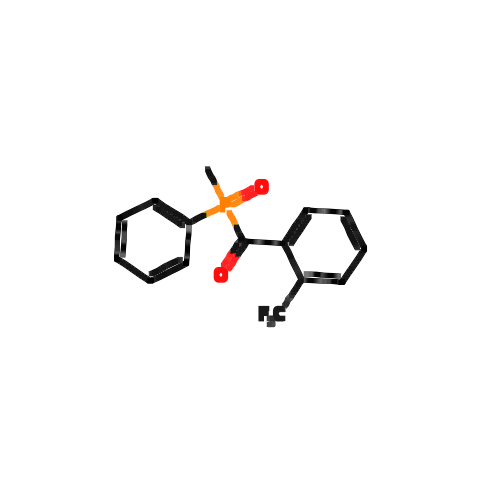 CP(=O)(C(=O)c1ccccc1C(F)(F)F)c1ccccc1